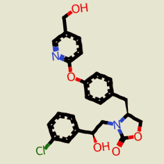 O=C1OC[C@H](Cc2ccc(Oc3ccc(CO)cn3)cc2)N1C[C@@H](O)c1cccc(Cl)c1